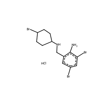 Cl.Nc1c(Br)cc(Br)cc1CNC1CCC(Br)CC1